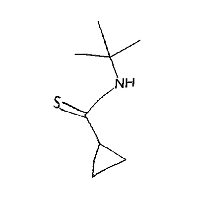 CC(C)(C)NC(=S)C1CC1